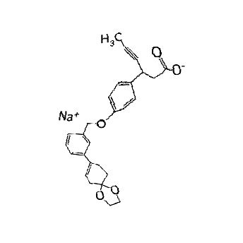 CC#CC(CC(=O)[O-])c1ccc(OCc2cccc(C3=CCC4(CC3)OCCO4)c2)cc1.[Na+]